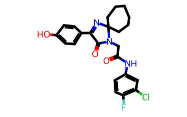 O=C(CN1C(=O)C(c2ccc(O)cc2)=NC12CCCCCC2)Nc1ccc(F)c(Cl)c1